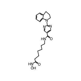 O=C(CCCCCCNC(=O)c1cnc(N2CCCc3ccccc32)nc1)NO